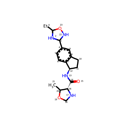 CCC1NC(c2ccc3c(c2)CC[C@H]3NC(=O)[C@@H]2NCOC2C)NO1